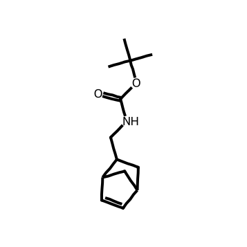 CC(C)(C)OC(=O)NCC1CC2C=CC1C2